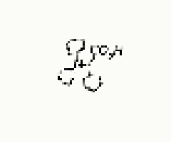 O=C(O)CC(c1ccccc1)N(c1ccccc1)c1ccccc1